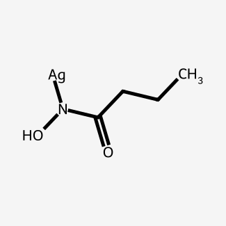 CCCC(=O)[N](O)[Ag]